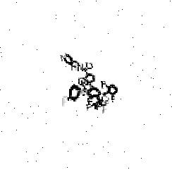 O=C(NCc1ccncc1)[C@H]1CC[C@](c2ccc(C(OCc3c(F)cccc3F)(C(F)(F)F)C(F)(F)F)cc2)(S(=O)(=O)c2ccc(F)cc2)C1